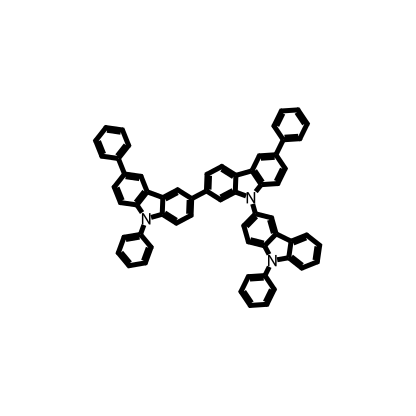 c1ccc(-c2ccc3c(c2)c2cc(-c4ccc5c6cc(-c7ccccc7)ccc6n(-c6ccc7c(c6)c6ccccc6n7-c6ccccc6)c5c4)ccc2n3-c2ccccc2)cc1